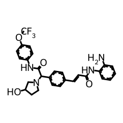 Nc1ccccc1NC(=O)C=Cc1ccc(C(C(=O)Nc2ccc(OC(F)(F)F)cc2)N2CCC(O)C2)cc1